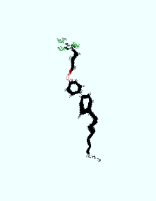 CCCCCCCc1ccc([C@H]2CC[C@H](OCCC[Si](Br)(Br)Br)CC2)cc1